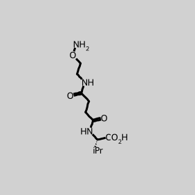 CC(C)[C@H](NC(=O)CCC(=O)NCCON)C(=O)O